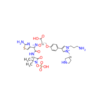 CC1(C)[C@H](NC(=O)/C(=N\O[C@@H](COc2ccc(-c3cn(CCCN)[n+](C[C@@H]4CCNC4)c3)cc2)C(=O)O)c2csc(N)n2)C(=O)N1OS(=O)(=O)O